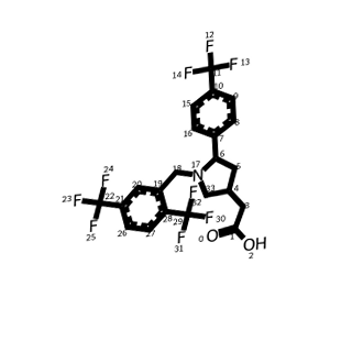 O=C(O)CC1CC(c2ccc(C(F)(F)F)cc2)N(Cc2cc(C(F)(F)F)ccc2C(F)(F)F)C1